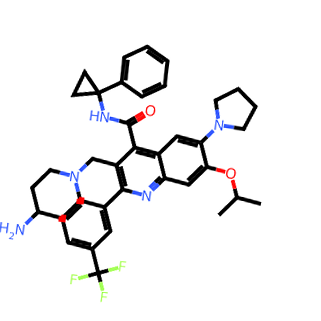 CC(C)Oc1cc2nc(-c3cccc(C(F)(F)F)c3)c(CN3CCC(N)CC3)c(C(=O)NC3(c4ccccc4)CC3)c2cc1N1CCCC1